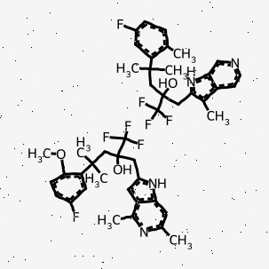 COc1ccc(F)cc1C(C)(C)CC(O)(Cc1cc2c(C)nc(C)cc2[nH]1)C(F)(F)F.Cc1ccc(F)cc1C(C)(C)CC(O)(Cc1[nH]c2cnccc2c1C)C(F)(F)F